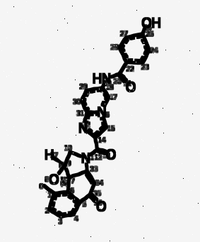 Cc1cccc2c1[C@@]13O[C@@H]1CN(C(=O)c1cn4cc(NC(=O)c5ccc(O)cc5)ccc4n1)C3=CC2=O